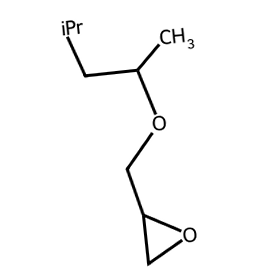 CC(C)CC(C)OCC1CO1